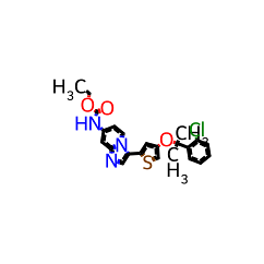 CCOC(=O)Nc1ccn2c(-c3cc(OC(C)(C)c4ccccc4Cl)cs3)cnc2c1